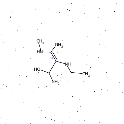 CCN/C(=C(\N)NC)C(N)O